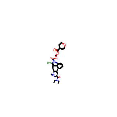 CCN(CC)C(=O)C1C=C2c3cccc4c3c(c(Br)n4C(=O)OCOC(=O)C3CCOCC3)CC2N(C)C1